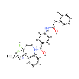 Cc1ccccc1CC(=O)Nc1ccc(C(=O)N2CCC(F)(F)/C(=C\C(=O)O)c3ccccc32)cc1